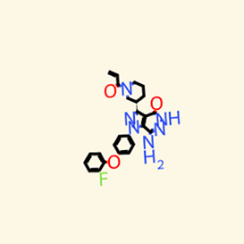 C=CC(=O)N1CCC[C@H](c2nn(-c3ccc(Oc4ccccc4F)cc3)c3c(N)n[nH]c(=O)c23)C1